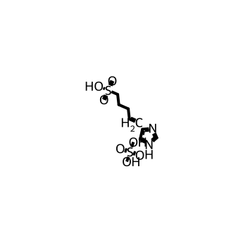 C=CCCCS(=O)(=O)O.O=S(=O)(O)O.c1c[nH]cn1